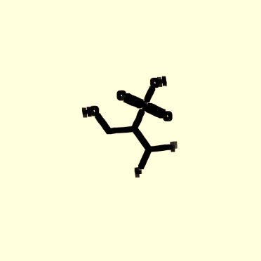 O=S(=O)(O)C(CO)C(F)F